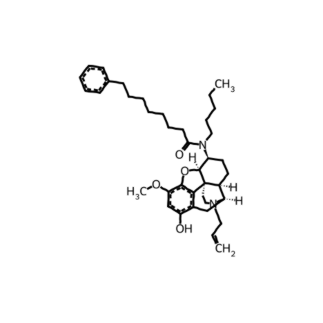 C=CCN1CC[C@]23c4c5c(O)cc(OC)c4O[C@H]2[C@@H](N(CCCCC)C(=O)CCCCCCCc2ccccc2)CC[C@H]3[C@H]1C5